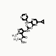 CCCCN(C)C(=O)c1c(NC(=O)Oc2nc(C3CC3)cnc2Nc2cncnc2)cnn1C